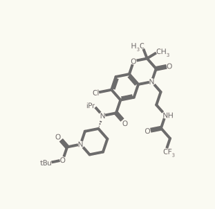 CC(C)N(C(=O)c1cc2c(cc1Cl)OC(C)(C)C(=O)N2CCNC(=O)CC(F)(F)F)[C@@H]1CCCN(C(=O)OC(C)(C)C)C1